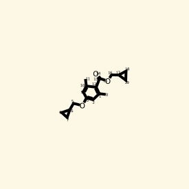 Cc1cc(OCC2CC2)cc(C)c1C(=O)OCC1CC1